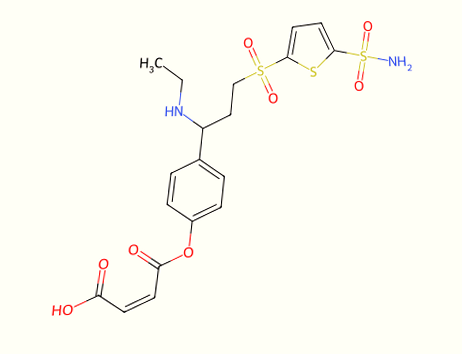 CCNC(CCS(=O)(=O)c1ccc(S(N)(=O)=O)s1)c1ccc(OC(=O)/C=C\C(=O)O)cc1